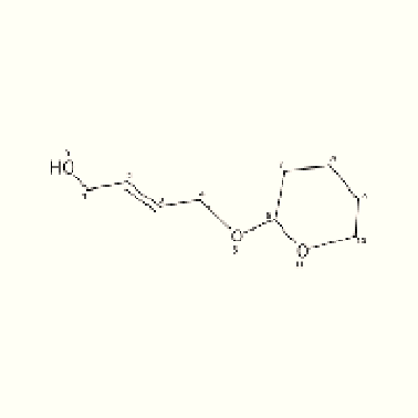 OC/C=C/COC1CCCCO1